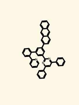 c1ccc(-c2cc(-c3ccccc3)nc(-c3cc(-c4ccc5cc6ccccc6cc5c4)cc(-c4ccccc4-c4ccccn4)c3)n2)cc1